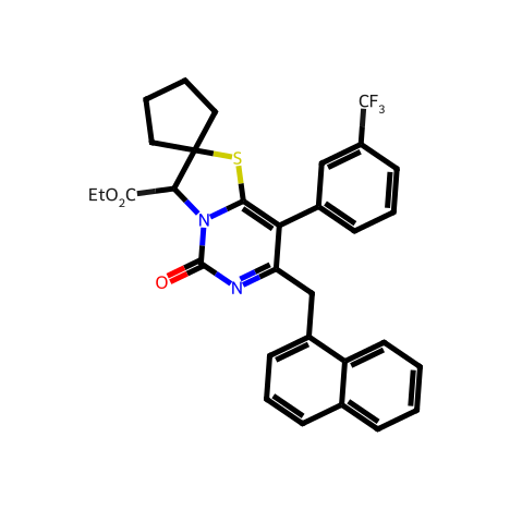 CCOC(=O)C1n2c(c(-c3cccc(C(F)(F)F)c3)c(Cc3cccc4ccccc34)nc2=O)SC12CCCC2